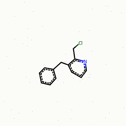 ClCc1ncccc1Cc1ccccc1